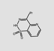 CC(C)C1=NNS(=O)(=O)c2cccnc21